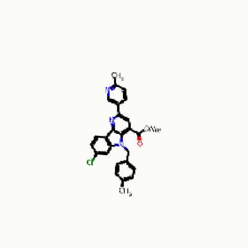 COC(=O)c1cc(-c2ccc(C)nc2)nc2c3ccc(Cl)cc3n(Cc3ccc(C)cc3)c12